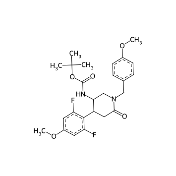 COc1ccc(CN2CC(NC(=O)OC(C)(C)C)C(c3c(F)cc(OC)cc3F)CC2=O)cc1